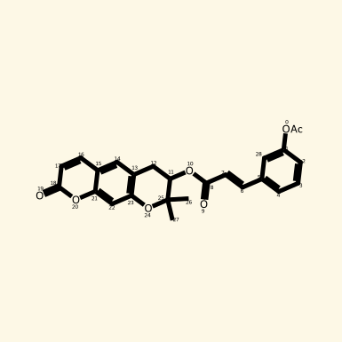 CC(=O)Oc1cccc(C=CC(=O)OC2Cc3cc4ccc(=O)oc4cc3OC2(C)C)c1